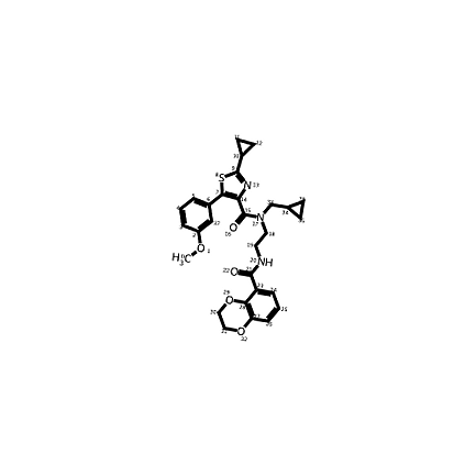 COc1cccc(-c2sc(C3CC3)nc2C(=O)N(CCNC(=O)c2cccc3c2OCCO3)CC2CC2)c1